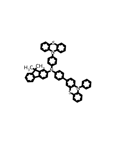 CC1(C)c2ccccc2-c2ccc(N(c3ccc(-c4ccc5c(c4)Sc4ccccc4N5c4ccccc4)cc3)c3ccc(N4c5ccccc5Sc5ccccc54)cc3)cc21